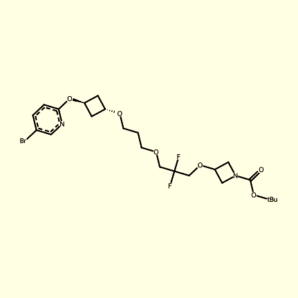 CC(C)(C)OC(=O)N1CC(OCC(F)(F)COCCCO[C@H]2C[C@H](Oc3ccc(Br)cn3)C2)C1